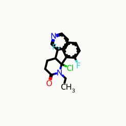 CCN1C(=O)CCC(c2cccnc2)C1(Cl)c1c(F)cccc1F